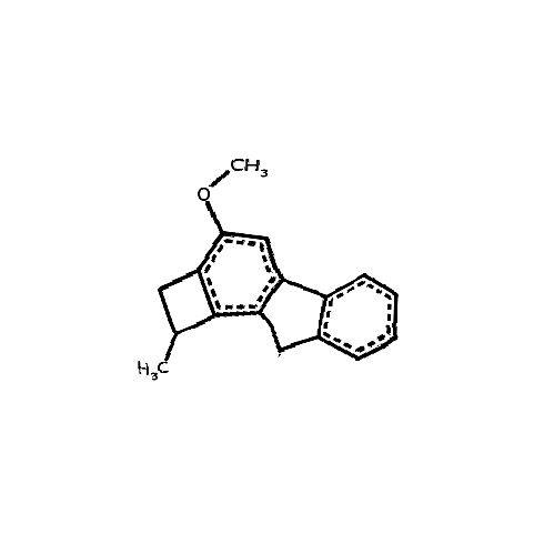 COc1cc2c(c3c1CC3C)[CH]c1ccccc1-2